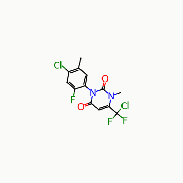 Cc1cc(-n2c(=O)cc(C(F)(F)Cl)n(C)c2=O)c(F)cc1Cl